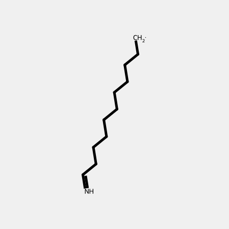 [CH2]CCCCCCCCCC=N